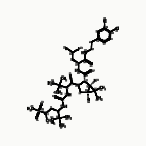 CN(C[C@@H](NC(=O)N[C@H](C(=O)N1C[C@H]2[C@@H]([C@H]1C(=O)N[C@@H](CC(F)F)C(=O)NCCc1ccc(Cl)c(Cl)c1)C2(C)C)C(C)(C)C)C(C)(C)C)S(C)(=O)=O